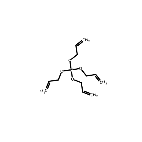 C=CCO[B-](OCC=C)(OCC=C)OCC=C